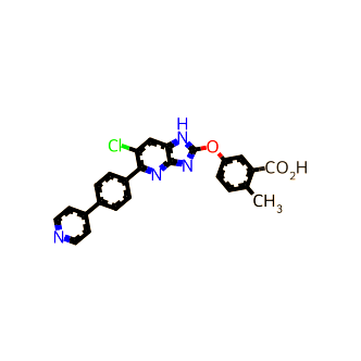 Cc1ccc(Oc2nc3nc(-c4ccc(-c5ccncc5)cc4)c(Cl)cc3[nH]2)cc1C(=O)O